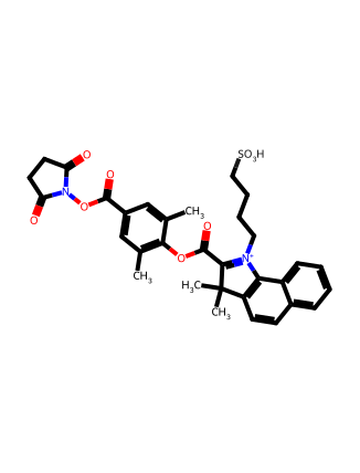 Cc1cc(C(=O)ON2C(=O)CCC2=O)cc(C)c1OC(=O)C1=[N+](CCCCS(=O)(=O)O)c2c(ccc3ccccc23)C1(C)C